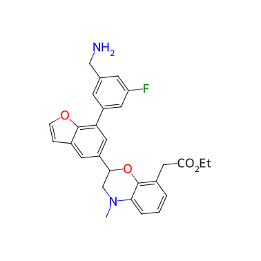 CCOC(=O)Cc1cccc2c1OC(c1cc(-c3cc(F)cc(CN)c3)c3occc3c1)CN2C